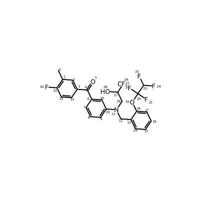 Cc1cc(C(=O)c2cccc(N(Cc3ccccc3OC(F)(F)C(F)F)CC(O)C(F)(F)F)c2)ccc1F